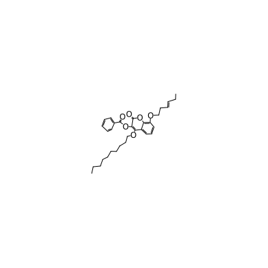 CCC=CCCOc1cccc2c(OCCCCCCCCCC)c(OC(=O)c3ccccc3)c(=O)oc12